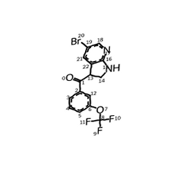 O=C(c1cccc(OC(F)(F)F)c1)C1CNc2ncc(Br)cc21